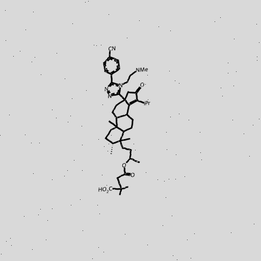 CNCCn1c(-c2ccc(C#N)cc2)nnc1C12CCC3C(CCC4C3(C)CC[C@@H](C)C4(C)CCC(C)OC(=O)CC(C)(C)C(=O)O)C1=C(C(C)C)C(=O)C2